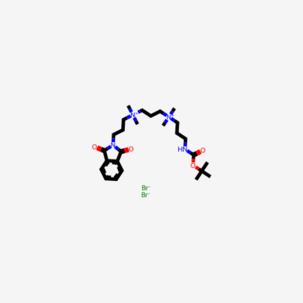 CC(C)(C)OC(=O)NCCC[N+](C)(C)CCC[N+](C)(C)CCCN1C(=O)c2ccccc2C1=O.[Br-].[Br-]